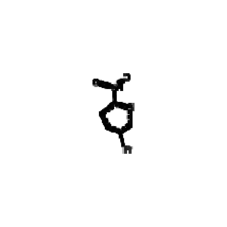 CC(C)c1ccc([SH](=O)=O)nc1